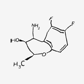 C[C@@H]1Oc2ccc(F)c(F)c2C(N)[C@@H]1O